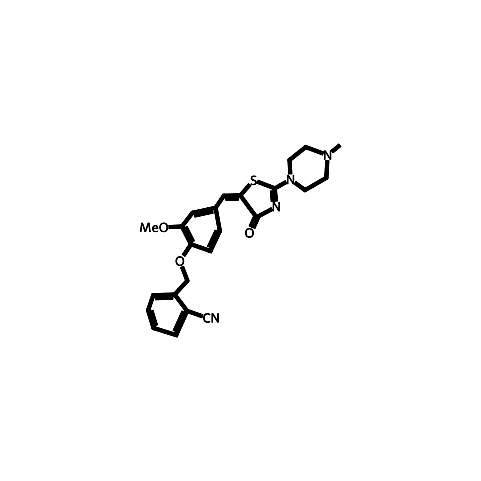 COc1cc(C=C2SC(N3CCN(C)CC3)=NC2=O)ccc1OCc1ccccc1C#N